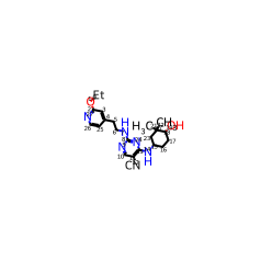 CCOc1cc(CCNc2ncc(C#N)c(N[C@@H]3CC[C@H](O)C(C)(C)C3)n2)ccn1